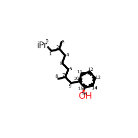 CC(C)CC(C)CCCC(C)Cc1ccccc1O